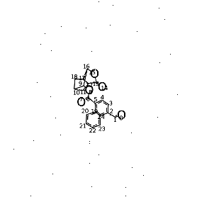 O=Cc1ccc(C(=O)OC2C3CC4C(=O)OC2C4C3)c2ccccc12